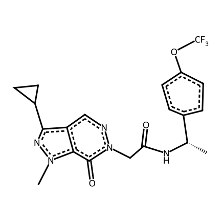 C[C@H](NC(=O)Cn1ncc2c(C3CC3)nn(C)c2c1=O)c1ccc(OC(F)(F)F)cc1